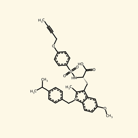 CC#CCOc1ccc(S(=O)(=O)N[C@@H](Cc2c(C)n(Cc3ccc(C(C)C)cc3)c3ccc(OC)cc23)C(=O)O)cc1